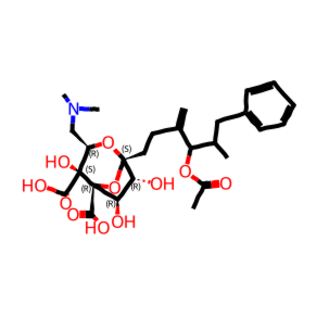 C=C(CC[C@]12O[C@H](CN(C)C)[C@@](O)(C(=O)O)[C@](C(=O)O)(O1)[C@H](O)[C@H]2O)C(OC(C)=O)C(C)Cc1ccccc1